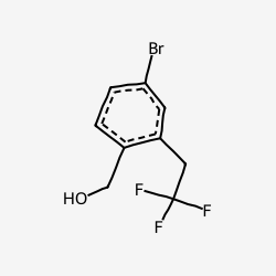 OCc1ccc(Br)cc1CC(F)(F)F